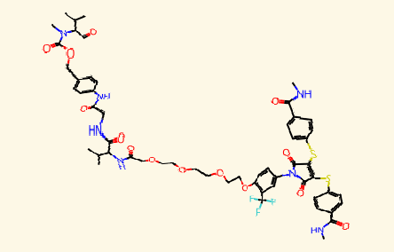 CNC(=O)c1ccc(SC2=C(Sc3ccc(C(=O)NC)cc3)C(=O)N(c3ccc(OCCOCCOCCOCC(=O)NC(C(=O)NCC(=O)Nc4ccc(COC(=O)N(C)C(C=O)C(C)C)cc4)C(C)C)c(C(F)(F)F)c3)C2=O)cc1